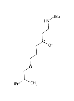 CC(C)[C@@H](C)COCCC[S+]([O-])CCNC(C)(C)C